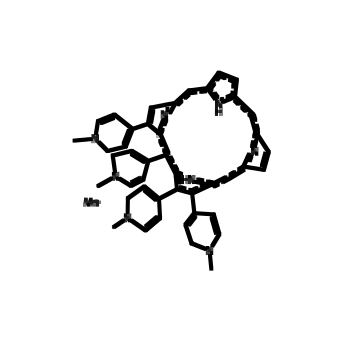 CN1C=CC(C2=Cc3cc4ccc(cc5nc(cc6[nH]c(c(C7=CCN(C)C=C7)c2n3)c(C2=CCN(C)C=C2)c6C2=CCN(C)C=C2)C=C5)[nH]4)=CC1.[Mn]